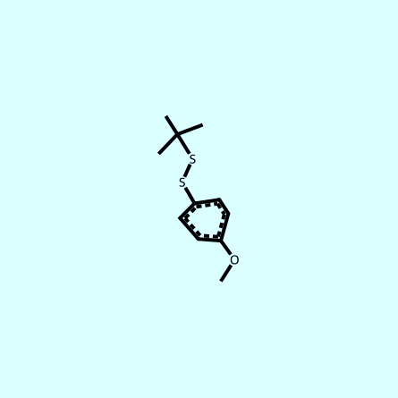 COc1ccc(SSC(C)(C)C)cc1